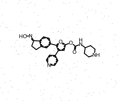 O=C(NC1CCNCC1)Oc1cc(-c2ccncc2)c(-c2ccc3c(c2)CCC3=NO)o1